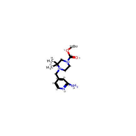 CC(C)(C)OC(=O)N1CCN(Cc2ccnc(N)c2)C(C)(C)C1